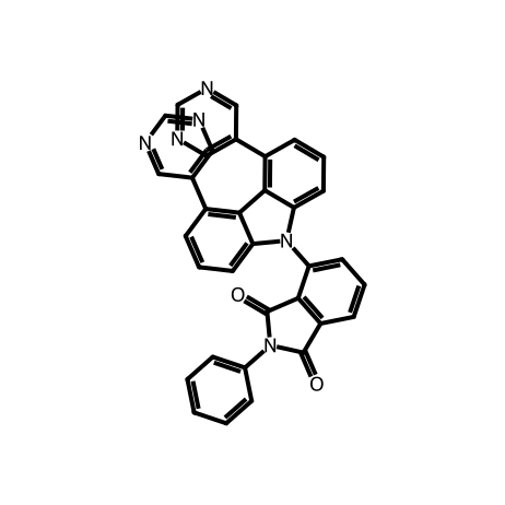 O=C1c2cccc(-n3c4cccc(-c5cncnc5)c4c4c(-c5cncnc5)cccc43)c2C(=O)N1c1ccccc1